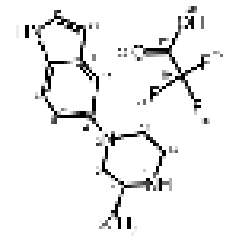 C[C@H]1CN(c2ccc3[nH]ccc3c2)CCN1.O=C(O)C(F)(F)F